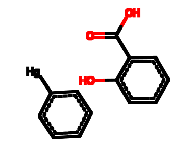 O=C(O)c1ccccc1O.[Hg][c]1ccccc1